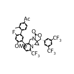 COc1cc(F)c(-c2ccc(C(C)=O)cc2C)cc1-c1ccc(C(F)(F)F)nc1CN1C(=O)O[C@H](c2cc(C(F)(F)F)cc(C(F)(F)F)c2)C12CC2